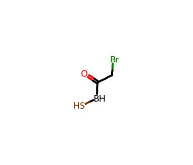 O=C(BS)CBr